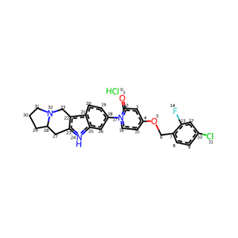 Cl.O=c1cc(OCc2ccc(Cl)cc2F)ccn1-c1ccc2c3c([nH]c2c1)CC1CCCN1C3